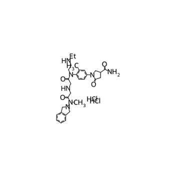 CCNCCN(C(=O)CNCC(=O)N(C)N1Cc2ccccc2C1)c1ccc(N2CC(C(N)=O)CC2=O)cc1C.Cl.Cl